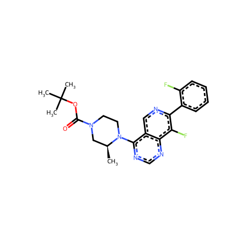 C[C@H]1CN(C(=O)OC(C)(C)C)CCN1c1ncnc2c(F)c(-c3ccccc3F)ncc12